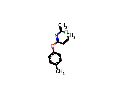 C=C(Cl)/N=C(\C=C/C)Oc1ccc(C)cc1